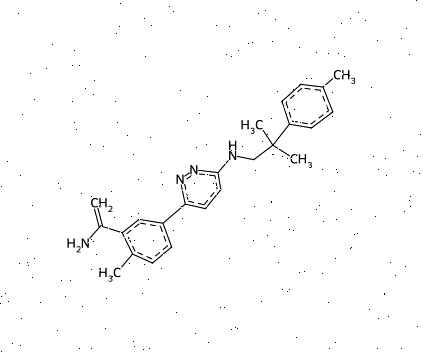 C=C(N)c1cc(-c2ccc(NCC(C)(C)c3ccc(C)cc3)nn2)ccc1C